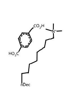 CCCCCCCCCCCCCCCCCC[N+](C)(C)C.O=C(O)c1ccc(C(=O)O)cc1